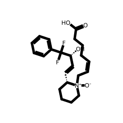 O=C(O)CCC/C=C\C[N+]1([O-])CCCC[C@@H]1/C=C/[C@@H](O)C(F)(F)c1ccccc1